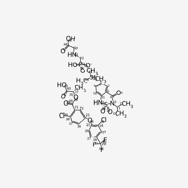 CC(C)N1C(=O)c2ccccc2NS1(=O)=O.C[C@H](OC(=O)c1cc(Oc2ccc(C(F)(F)F)cc2Cl)ccc1Cl)C(=O)O.C[S+](C)C.O=C(O)CNCP(=O)([O-])O